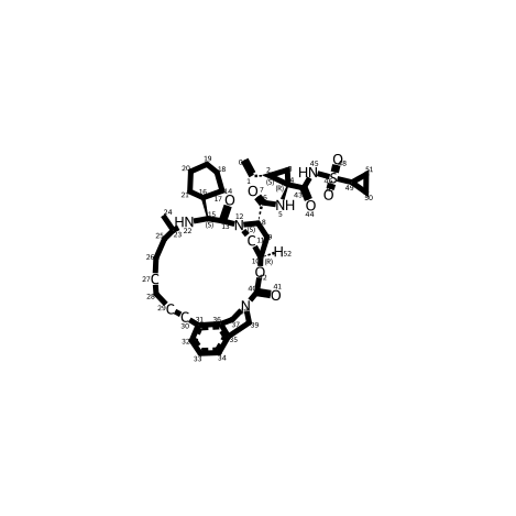 C=C[C@@H]1C[C@]1(NC(=O)[C@@H]1C[C@@H]2CN1C(=O)[C@H](C1CCCCC1)NC(C)CCCCCCc1cccc3c1CN(C3)C(=O)O2)C(=O)NS(=O)(=O)C1CC1